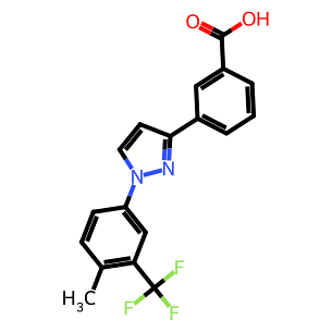 Cc1ccc(-n2ccc(-c3cccc(C(=O)O)c3)n2)cc1C(F)(F)F